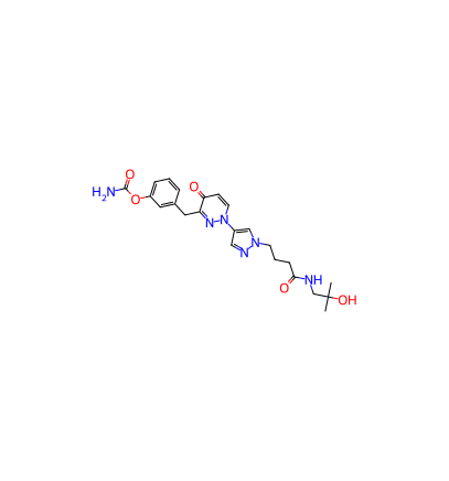 CC(C)(O)CNC(=O)CCCn1cc(-n2ccc(=O)c(Cc3cccc(OC(N)=O)c3)n2)cn1